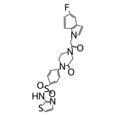 O=C(Cn1ccc2cc(F)ccc21)N1CCN(c2ccc(S(=O)(=O)Nc3nccs3)cc2)C(=O)C1